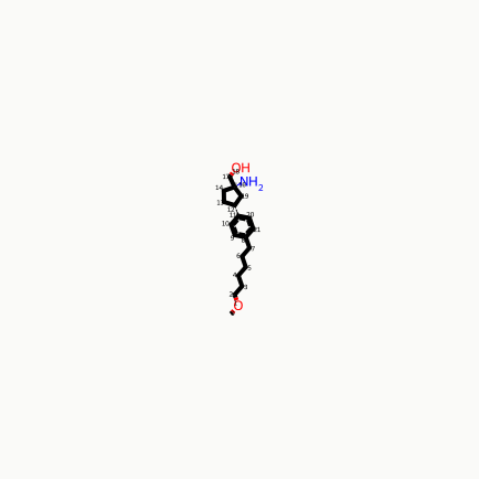 COCCCCCCc1ccc([C@@H]2CC[C@@](N)(CO)C2)cc1